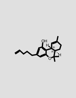 C=CCCCc1cc(O)c2c(c1)OC(C)(C)[C@@H]1CCC(C)=C[C@@H]21